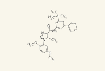 COc1ccc(OC)c(-n2nnc(C(=O)Nc3cc(-c4ccccc4)cc(C(C)(C)C)c3)c2C)c1